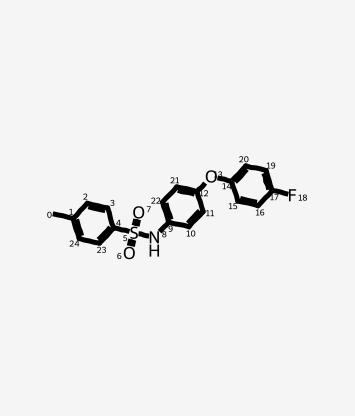 Cc1ccc(S(=O)(=O)Nc2ccc(Oc3ccc(F)cc3)cc2)cc1